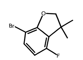 CC1(C)COc2c(Br)ccc(F)c21